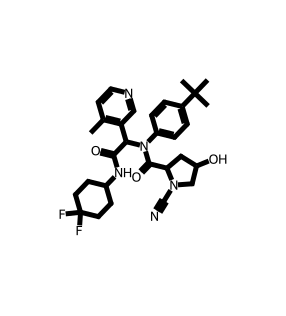 Cc1ccncc1C(C(=O)NC1CCC(F)(F)CC1)N(C(=O)C1CC(O)CN1C#N)c1ccc(C(C)(C)C)cc1